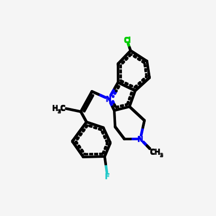 C/C(=C/n1c2c(c3ccc(Cl)cc31)CN(C)CC2)c1ccc(F)cc1